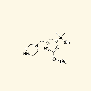 CC(C)(C)OC(=O)N[C@@H](CO[Si](C)(C)C(C)(C)C)CN1CCNCC1